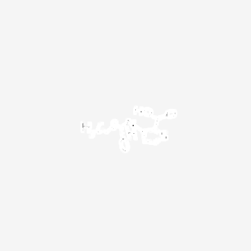 CCOC(=O)Nc1ccsc1C(=O)O